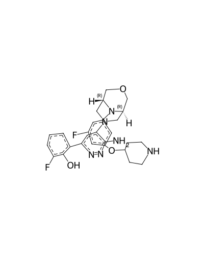 Nc1nnc(-c2cccc(F)c2O)cc1N1C[C@@H]2COC[C@@H](C1)N2c1cc(F)cc(OC2CCNCC2)c1